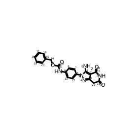 Nc1c2c(nn1-c1ccc(NC(=O)OCc3ccccc3)cc1)CC(=O)NC2=O